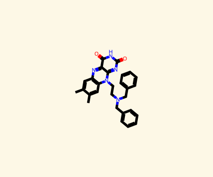 Cc1cc2nc3c(=O)[nH]c(=O)nc-3n(CCN(Cc3ccccc3)Cc3ccccc3)c2cc1C